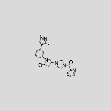 Cc1nn(C)cc1-c1cccc(N2CC(N3CCN(C(=O)c4nccs4)CC3)CC2=O)c1